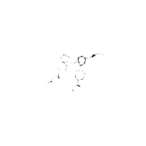 CC(C)(C)OC(=O)C1CCN(c2cc(C#CSI)ccc2CN2CCCC23CCN(C(=O)OC(C(F)(F)F)C(F)(F)F)CC3)CC1